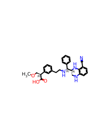 COC[C@H](C(=O)O)c1cccc(CCN[C@H](c2ccccc2)[C@H]2CNc3cccc(C#N)c3N2)c1